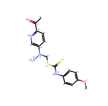 COc1ccc(NC(=S)SCN(N)c2ccc(C(C)=O)nc2)cc1